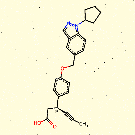 CC#C[C@@H](CC(=O)O)c1ccc(OCc2ccc3c(cnn3C3CCCC3)c2)cc1